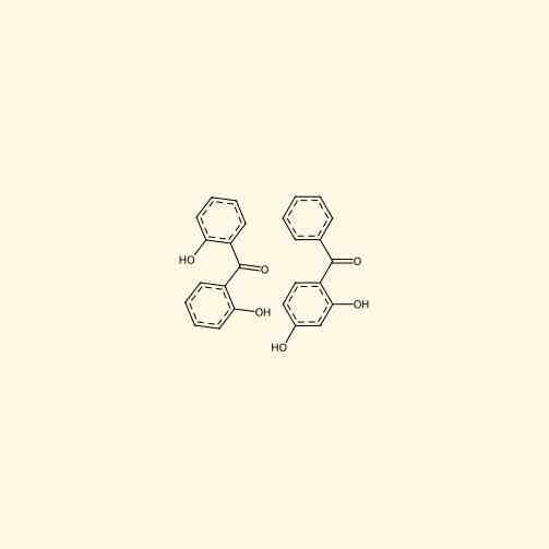 O=C(c1ccccc1)c1ccc(O)cc1O.O=C(c1ccccc1O)c1ccccc1O